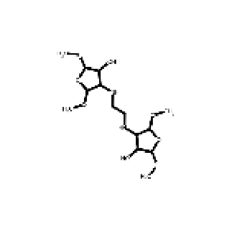 COC1OC(OC)C(NCCNC2C(OC)OC(OC)C2O)C1O